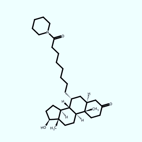 C[C@]12CCC(=O)C[C@@H]1C[C@@H](CCCCCCCC(=O)N1CCCCC1)[C@@H]1[C@@H]2CC[C@]2(C)[C@@H](O)CC[C@@H]12